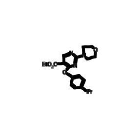 CCOC(=O)c1cnc(N2CCOCC2)nc1Oc1ccc(C(C)C)cc1